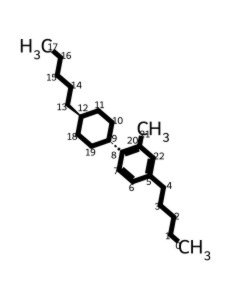 CCCCCc1ccc([C@H]2CC[C@H](CCCCC)CC2)c(C)c1